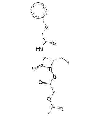 CC(=S)OCC(=O)ON1C(=O)[C@H](NC(=O)COc2ccccc2)[C@@H]1CI